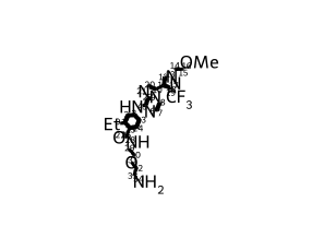 CCc1cc(Nc2nccn3c(-c4cn(CCOC)nc4C(F)(F)F)cnc23)ccc1C(=O)NCCOCCN